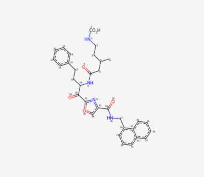 CC(CCNC(=O)O)CC(=O)NC(CCc1ccccc1)C(=O)c1nc(C(=O)NCc2cccc3ccccc23)co1